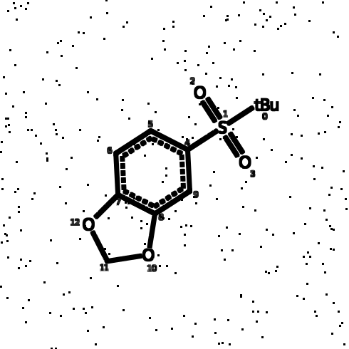 CC(C)(C)S(=O)(=O)c1ccc2c(c1)OCO2